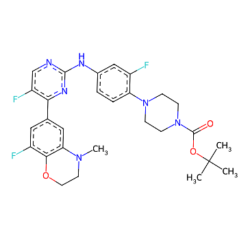 CN1CCOc2c(F)cc(-c3nc(Nc4ccc(N5CCN(C(=O)OC(C)(C)C)CC5)c(F)c4)ncc3F)cc21